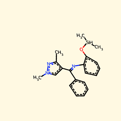 Cc1nn(C)cc1C(=Nc1ccccc1O[SiH](C)C)c1ccccc1